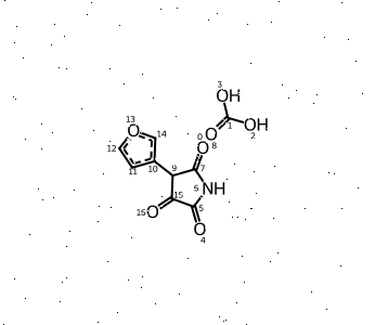 O=C(O)O.O=C1NC(=O)C(c2ccoc2)C1=O